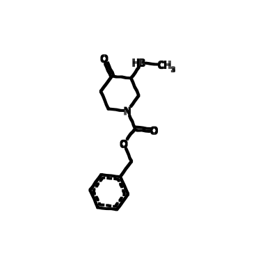 CBC1CN(C(=O)OCc2ccccc2)CCC1=O